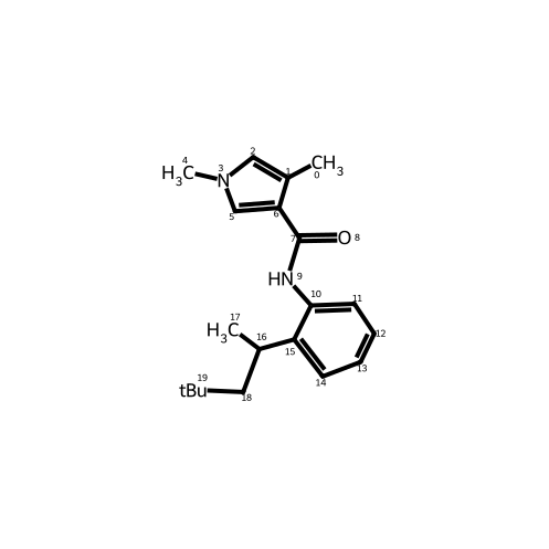 Cc1cn(C)cc1C(=O)Nc1ccccc1C(C)CC(C)(C)C